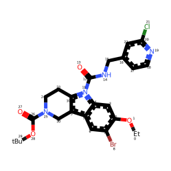 CCOc1cc2c(cc1Br)c1c(n2C(=O)NCc2ccnc(Cl)c2)CCN(C(=O)OC(C)(C)C)C1